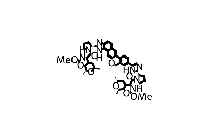 COC(=O)N[C@H](C(=O)N1CCC[C@H]1c1nc2ccc3cc4c(cc3c2[nH]1)OCc1cc(-c2cnc([C@@H]3CC[C@H](C)N3C(=O)[C@@H](NC(=O)OC)C3C[C@@H](C)O[C@H](C)C3)[nH]2)ccc1-4)C1C[C@@H](C)O[C@H](C)C1